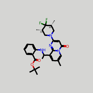 Cc1cc(C(C)Nc2ccccc2C(=O)OC(C)(C)C)c2nc(N3C[C@@H](C)C(F)(F)[C@@H](C)C3)cc(=O)n2c1